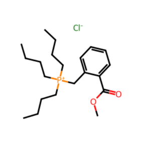 CCCC[P+](CCCC)(CCCC)Cc1ccccc1C(=O)OC.[Cl-]